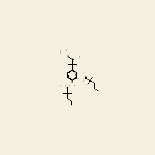 CCCC(C)(C)C(=O)Oc1ccc(C(C)(C)C(=O)CN)cc1OC(=O)C(C)(C)CCC